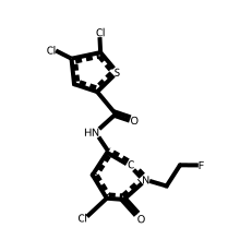 O=C(Nc1cc(Cl)c(=O)n(CCF)c1)c1cc(Cl)c(Cl)s1